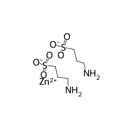 NCCCS(=O)(=O)[O-].NCCCS(=O)(=O)[O-].[Zn+2]